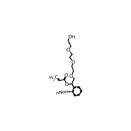 C=CC(=O)OC(COCCOCCOCCO)c1ccccc1CCCCCCCCC